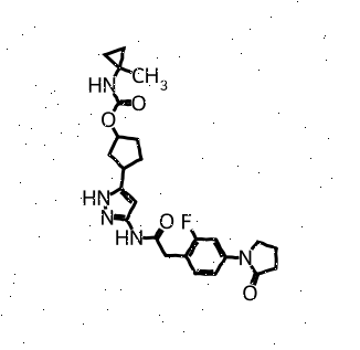 CC1(NC(=O)OC2CCC(c3cc(NC(=O)Cc4ccc(N5CCCC5=O)cc4F)n[nH]3)C2)CC1